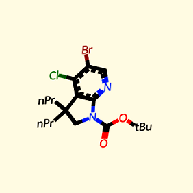 CCCC1(CCC)CN(C(=O)OC(C)(C)C)c2ncc(Br)c(Cl)c21